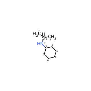 C[SiH](C)NC1CCCCC1